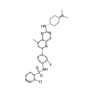 Cc1cc(-c2ccc(NS(=O)(=O)c3ccc#cc3Cl)c(F)c2)nc2cnc(N[C@H]3CC[C@H](N(C)C)CC3)nc12